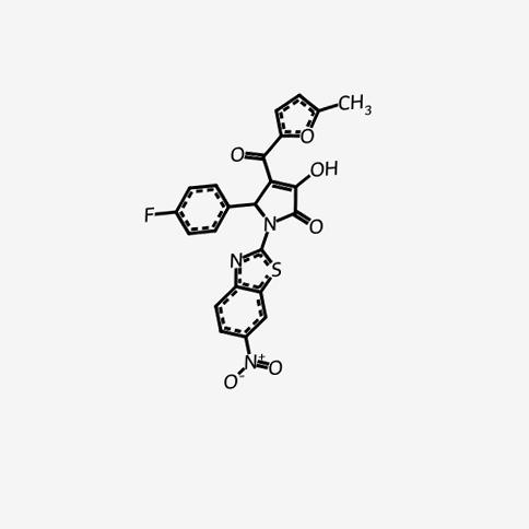 Cc1ccc(C(=O)C2=C(O)C(=O)N(c3nc4ccc([N+](=O)[O-])cc4s3)C2c2ccc(F)cc2)o1